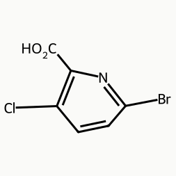 O=C(O)c1nc(Br)ccc1Cl